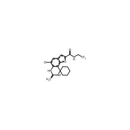 C=C1Nc2c(Cl)cc3cc(C(=O)NCC(F)(F)F)oc3c2C2(CCCCC2)N1